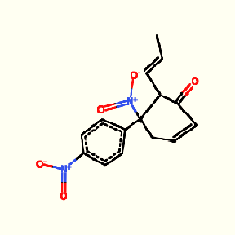 CC=CC1C(=O)C=CCC1(c1ccc([N+](=O)[O-])cc1)[N+](=O)[O-]